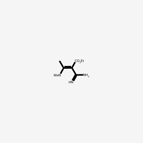 CCOC(=O)/C(C(=N)N)=C(\C)NC